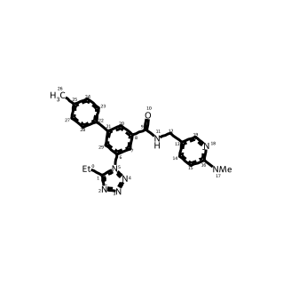 CCc1nnnn1-c1cc(C(=O)NCc2ccc(NC)nc2)cc(-c2ccc(C)cc2)c1